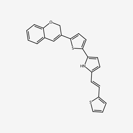 C1=C(c2ccc(-c3ccc(/C=C/c4cccs4)[nH]3)s2)COc2ccccc21